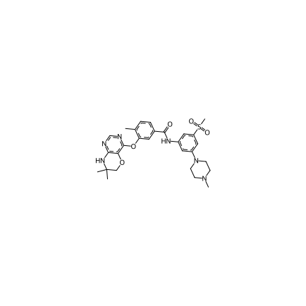 Cc1ccc(C(=O)Nc2cc(N3CCN(C)CC3)cc(S(C)(=O)=O)c2)cc1Oc1ncnc2c1OCC(C)(C)N2